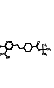 CC(C)(C)OC(=O)N1CCN(CCc2cnc(F)c(B(O)O)c2)CC1